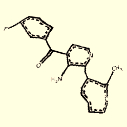 Cc1ccccc1-c1nccc(C(=O)c2cccc(F)c2)c1N